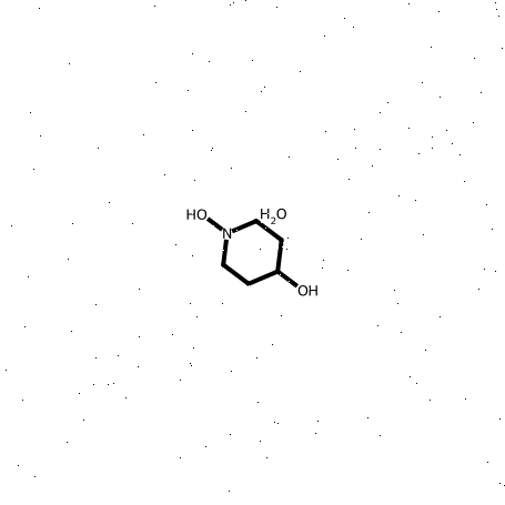 O.OC1CCN(O)CC1